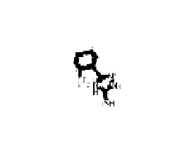 FC(F)(F)c1ccccc1-c1nnc(S)[nH]1